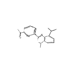 CC(=O)c1cccc(C(C)=Nc2c(C(C)C)cccc2C(C)C)n1